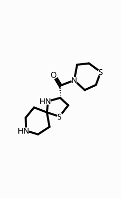 O=C([C@@H]1CSC2(CCNCC2)N1)N1CCSCC1